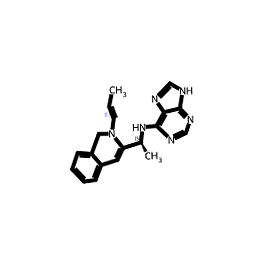 C/C=C/N1Cc2ccccc2C=C1[C@H](C)Nc1ncnc2[nH]cnc12